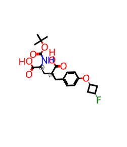 CC(C)(C)OC(=O)N[C@@H](C[C@H](Cc1ccc(O[C@H]2C[C@@H](F)C2)cc1)C(=O)O)C(=O)O